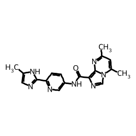 Cc1cc(C)n2cnc(C(=O)Nc3ccc(-c4ncc(C)[nH]4)nc3)c2n1